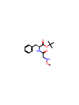 CONCC(=O)N[C@@H](Cc1ccccc1)C(=O)OC(C)(C)C